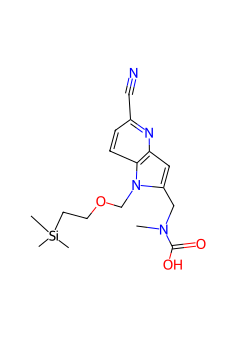 CN(Cc1cc2nc(C#N)ccc2n1COCC[Si](C)(C)C)C(=O)O